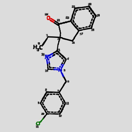 CCC1(c2cn(Cc3ccc(Cl)cc3)cn2)Cc2ccccc2C1=O